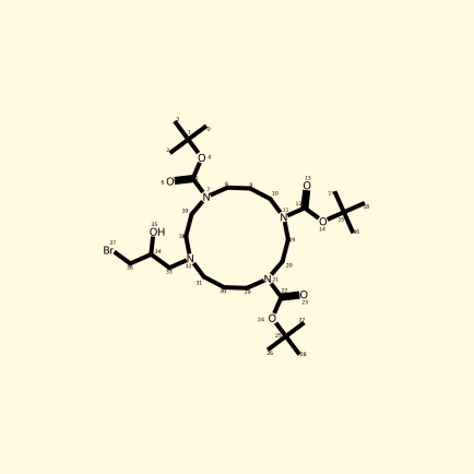 CC(C)(C)OC(=O)N1CCCN(C(=O)OC(C)(C)C)CCN(C(=O)OC(C)(C)C)CCCN(CC(O)CBr)CC1